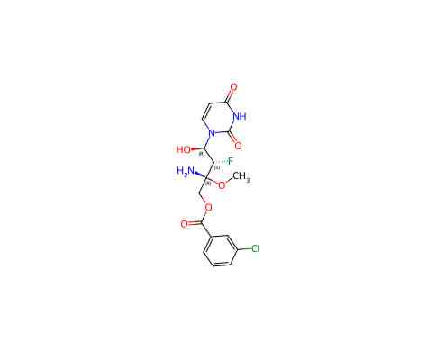 CO[C@](N)(COC(=O)c1cccc(Cl)c1)[C@@H](F)[C@@H](O)n1ccc(=O)[nH]c1=O